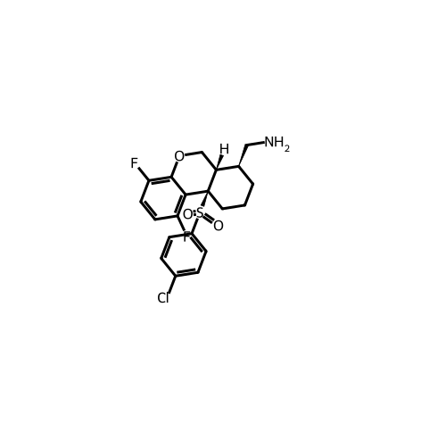 NC[C@H]1CCC[C@]2(S(=O)(=O)c3ccc(Cl)cc3)c3c(F)ccc(F)c3OC[C@H]12